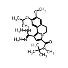 COc1cc2c(cc1OC(C)C)-c1c(/C(=N/N)NN)cc(C(=O)N(C)C(C)(C)C)n1CC2